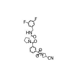 N#CC1CN(S(=O)(=O)c2cccc(C(=O)N3CCC[C@@H]3C(=O)NCc3cc(F)cc(F)c3)c2)C1